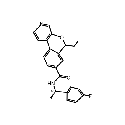 CCC1Oc2cnccc2-c2ccc(C(=O)N[C@H](C)c3ccc(F)cc3)cc21